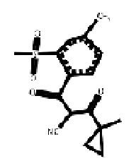 CC1(C(=O)C(C#N)C(=O)c2ccc(C(F)(F)F)cc2S(C)(=O)=O)CC1